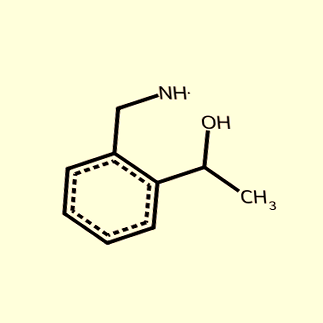 CC(O)c1ccccc1C[NH]